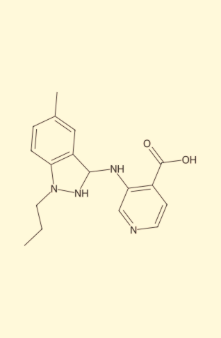 CCCN1NC(Nc2cnccc2C(=O)O)c2cc(C)ccc21